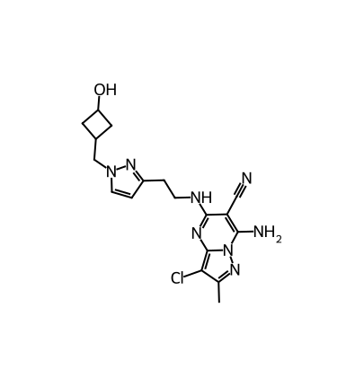 Cc1nn2c(N)c(C#N)c(NCCc3ccn(CC4CC(O)C4)n3)nc2c1Cl